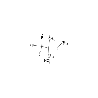 CC(C)(CN)C(F)(F)F.Cl